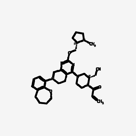 C=CC(=O)N1CCN(c2nc(OC[C@@H]3CCCN3C)nc3c2CCN(c2cccc4c2OCCCC4)C3)C[C@@H]1CC#N